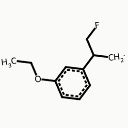 [CH2]C(CF)c1cccc(OCC)c1